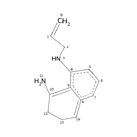 C=CCNc1cccc2c1=C(N)CCC=2